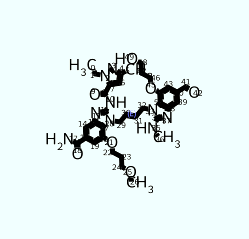 CCn1nc(C)cc1C(=O)Nc1nc2cc(C(N)=O)cc(OCCCOC)c2n1C/C=C/Cn1c(NC)nc2cc(C=O)cc(OCCCO)c21